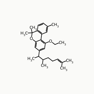 CCOc1cc(C(C)C(C)CCC=C(C)C)cc2c1-c1cc(C)ccc1C(C)(C)O2